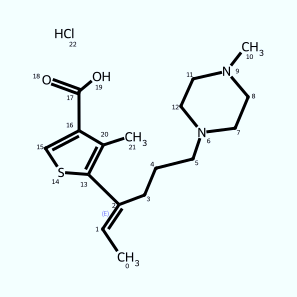 C/C=C(\CCCN1CCN(C)CC1)c1scc(C(=O)O)c1C.Cl